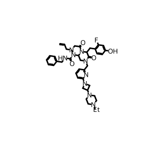 C=CCN1CC(=O)N2C(Cc3ccc(O)cc3F)C(=O)N(Cc3cccc(N4CC(N5CCN(CC)CC5)C4)n3)CC2N1C(=O)NCc1ccccc1